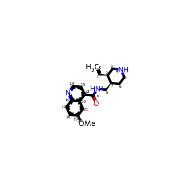 C=C[C@H]1CNCC[C@H]1CNC(=O)c1ccnc2ccc(OC)cc12